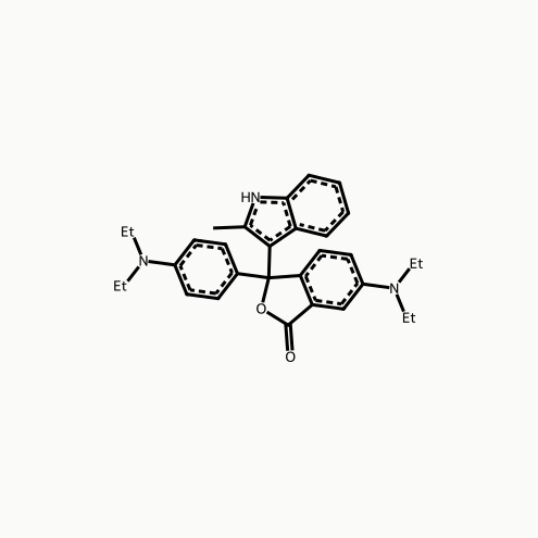 CCN(CC)c1ccc(C2(c3c(C)[nH]c4ccccc34)OC(=O)c3cc(N(CC)CC)ccc32)cc1